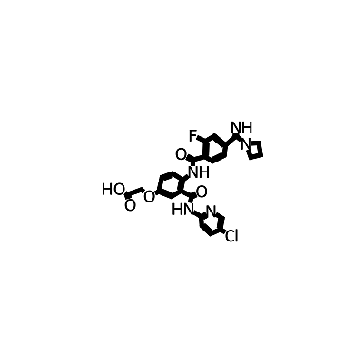 N=C(c1ccc(C(=O)Nc2ccc(OCC(=O)O)cc2C(=O)Nc2ccc(Cl)cn2)c(F)c1)N1CCC1